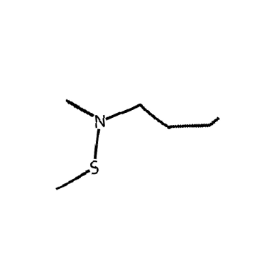 CCCN(C)SC